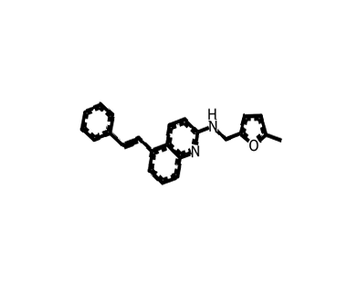 Cc1ccc(CNc2ccc3c(C=Cc4ccccc4)cccc3n2)o1